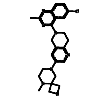 Cc1nc(N2CCc3ncc(N4CCN(C)C5(COC5)C4)cc3C2)c2cc(Cl)ccc2n1